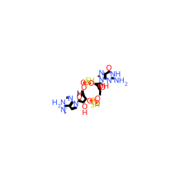 C=Nc1c(/C(N)=N\C)ccn1[C@@H]1O[C@@H]2COP(=O)(S)OC3C(O)=C(COP(=O)(S)OC2C1O)O[C@H]3n1cnc2c(=O)[nH]c(N)nc21